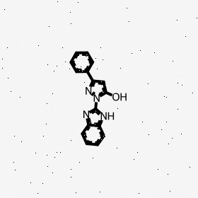 Oc1cc(-c2ccccc2)nn1-c1nc2ccccc2[nH]1